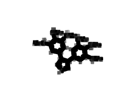 COc1cc(-c2cscc2-c2cc(OC)c(OC)c(OC)c2)cc(OC)c1OC